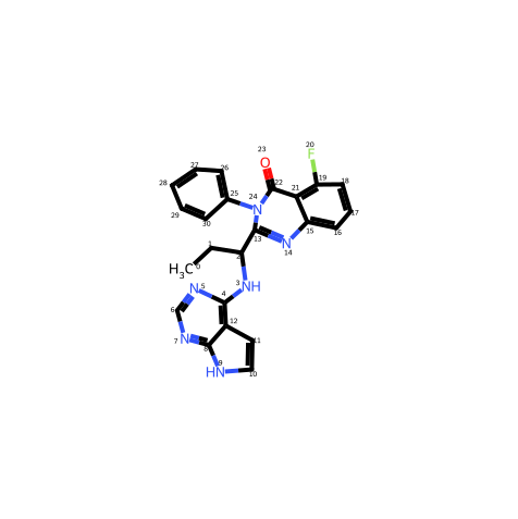 CCC(Nc1ncnc2[nH]ccc12)c1nc2cccc(F)c2c(=O)n1-c1ccccc1